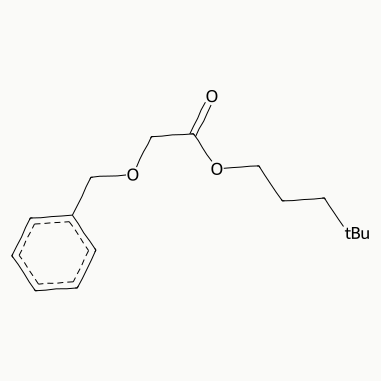 CC(C)(C)CCCOC(=O)COCc1ccccc1